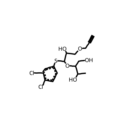 C#CCOCC(O)C(OC(CO)C(C)O)Sc1ccc(Cl)c(Cl)c1